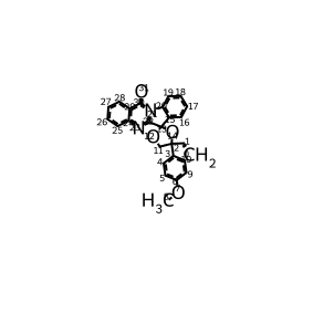 C=CC1(c2ccc(OC)cc2)COC2(O1)c1ccccc1-n1c2nc2ccccc2c1=O